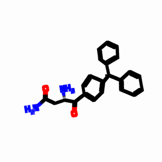 NC(=O)C[C@H](N)C(=O)c1ccc([C](c2ccccc2)c2ccccc2)cc1